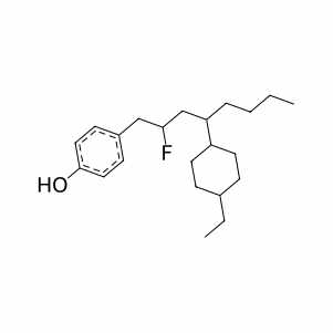 CCCCC(CC(F)Cc1ccc(O)cc1)C1CCC(CC)CC1